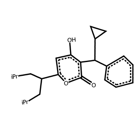 CC(C)CC(CC(C)C)c1cc(O)c(C(c2ccccc2)C2CC2)c(=O)o1